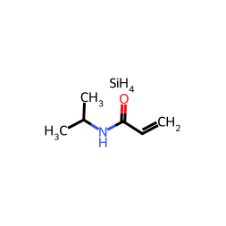 C=CC(=O)NC(C)C.[SiH4]